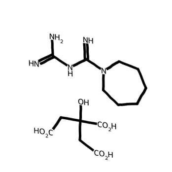 N=C(N)NC(=N)N1CCCCCC1.O=C(O)CC(O)(CC(=O)O)C(=O)O